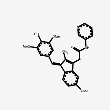 COc1ccc2c(c1)C(CC(=O)Nc1cccnc1)=C(C)C2=Cc1cc(OC)c(O)c(OC)c1